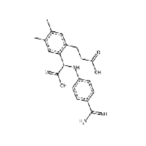 Cc1cc(CCC(=O)O)c(C(Nc2ccc(C(=N)N)cc2)C(=O)O)cc1C